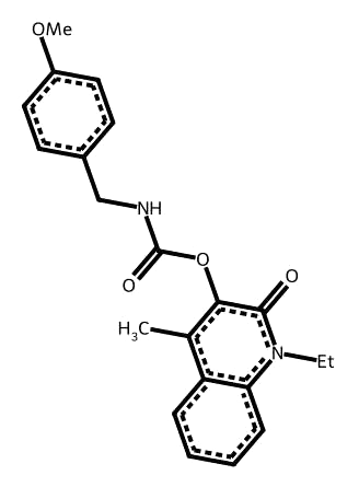 CCn1c(=O)c(OC(=O)NCc2ccc(OC)cc2)c(C)c2ccccc21